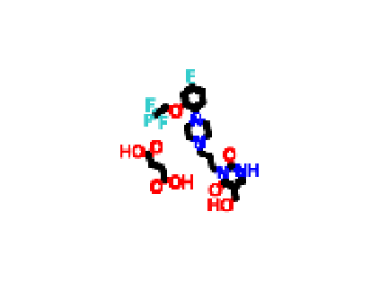 O=C(O)C=CC(=O)O.O=c1[nH]cc(CO)c(=O)n1CCCN1CCN(c2ccc(F)cc2OCC(F)(F)F)CC1